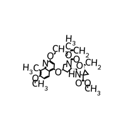 C=C[C@@H]1C[C@]1(NC(=O)[C@@H]1C[C@@H](Oc2cc(OCC)nc3c(C)c(OC)ccc23)CN1C(=O)OC(=C)C)C(=O)OC